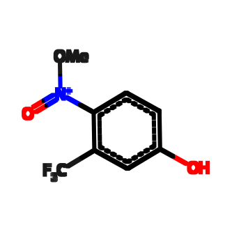 CO[N+](=O)c1ccc(O)cc1C(F)(F)F